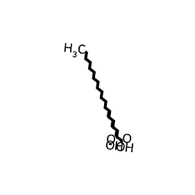 CCCCCCCCCCCCCC=CC=CC=C(OO)C(=O)O